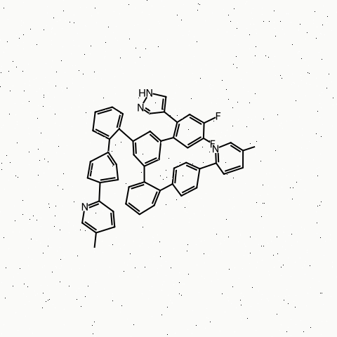 Cc1ccc(-c2ccc(-c3ccccc3-c3cc(-c4ccccc4-c4ccc(-c5ccc(C)cn5)cc4)cc(-c4cc(F)c(F)cc4-c4cn[nH]c4)c3)cc2)nc1